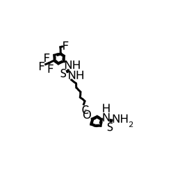 NC(=S)Nc1cccc(OCCCCCCCCNC(=S)Nc2cc(CF)cc(C(F)(F)F)c2)c1